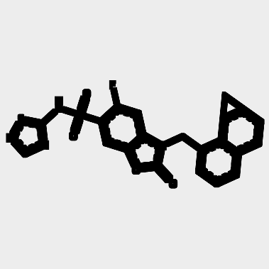 O=c1oc2cc(S(=O)(=O)Nc3ncns3)c(F)cc2n1Cc1cccc2ccc3c(c12)C3